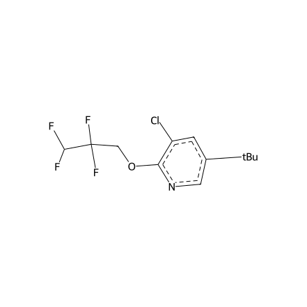 CC(C)(C)c1cnc(OCC(F)(F)C(F)F)c(Cl)c1